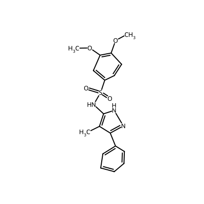 COc1ccc(S(=O)(=O)Nc2[nH]nc(-c3ccccc3)c2C)cc1OC